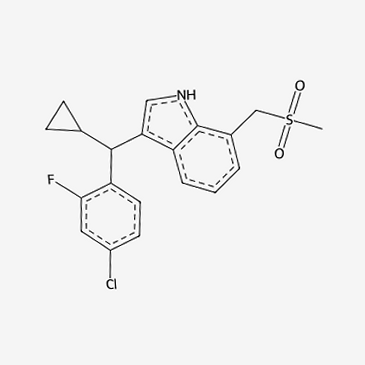 CS(=O)(=O)Cc1cccc2c(C(c3ccc(Cl)cc3F)C3CC3)c[nH]c12